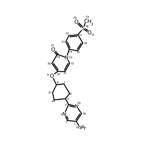 CCCc1cnc(C2CCC(Oc3ccn(-c4ccc(S(C)(=O)=O)cc4)c(=O)c3)CC2)nc1